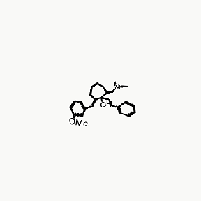 COc1cccc(C=C2CCCCC(CN(C)C)C2(O)CCc2ccccc2)c1